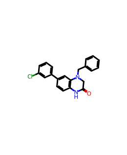 O=C1CN(Cc2ccccc2)c2cc(-c3cccc(Cl)c3)ccc2N1